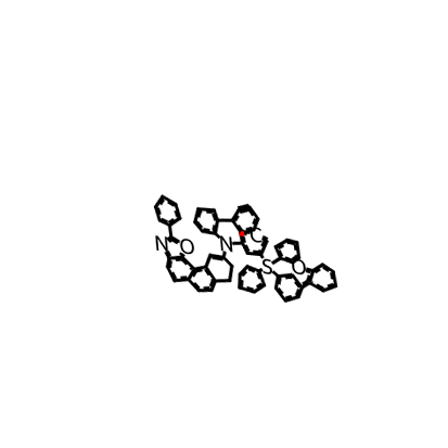 c1cccc(-c2ccccc2N(C2=Cc3c(ccc4ccc5nc(-c6ccccc6)oc5c34)CC2)c2cccc(S(c3ccccc3)(c3ccccc3)c3cccc4c3oc3ccccc34)c2)c#1